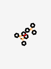 c1ccc(P(CP(c2ccccc2)c2ccccc2)c2ccccc2)cc1.c1ccc(P(c2ccccc2)c2ccccc2)cc1